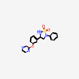 O=S1(=O)NC(c2cccc(Oc3cnccn3)c2)CN1c1ccccc1